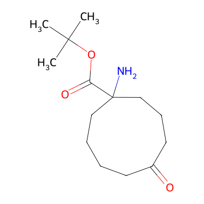 CC(C)(C)OC(=O)C1(N)CCCCC(=O)CCC1